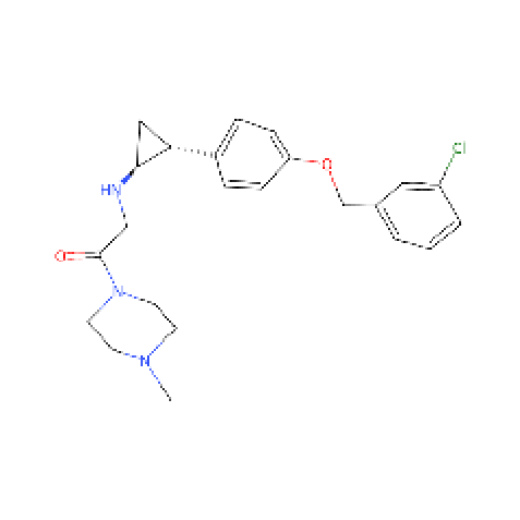 CN1CCN(C(=O)CN[C@H]2C[C@@H]2c2ccc(OCc3cccc(Cl)c3)cc2)CC1